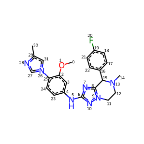 COc1cc(Nc2nc3n(n2)CCN(C)C3c2ccc(F)cc2)ccc1-n1cnc(C)c1